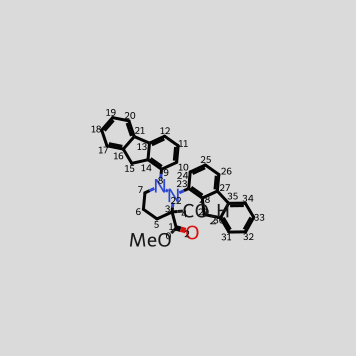 COC(=O)C1(C(=O)O)CCCN(c2cccc3c2Cc2ccccc2-3)N1c1cccc2c1Cc1ccccc1-2